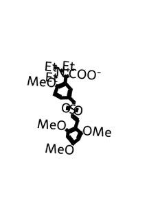 CC[N+](CC)(CC)C(C(=O)[O-])c1cc(CS(=O)(=O)/C=C/c2c(OC)cc(OC)cc2OC)ccc1OC